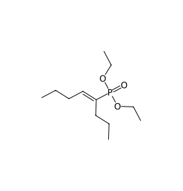 CCC/C=C(\CCC)P(=O)(OCC)OCC